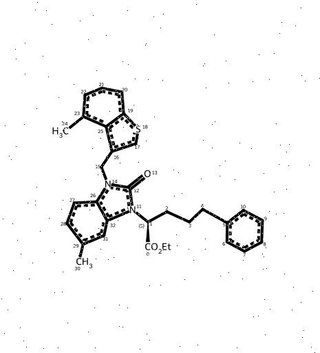 CCOC(=O)[C@H](CCCc1ccccc1)n1c(=O)n(Cc2csc3cccc(C)c23)c2ccc(C)cc21